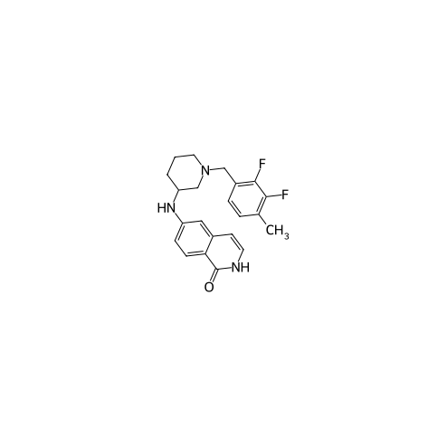 Cc1ccc(CN2CCCC(Nc3ccc4c(=O)[nH]ccc4c3)C2)c(F)c1F